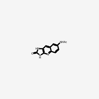 CC(=O)Nc1ccc2nc3[nH]c(=O)[nH]c3cc2c1